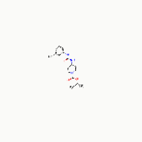 N#Cc1cccc(NC(=O)NC2CCN(C(=O)OC(C(F)(F)F)C(F)(F)F)CC2)c1